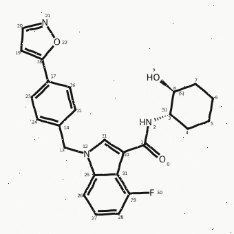 O=C(N[C@H]1CCCC[C@@H]1O)c1cn(Cc2ccc(-c3ccno3)cc2)c2cccc(F)c12